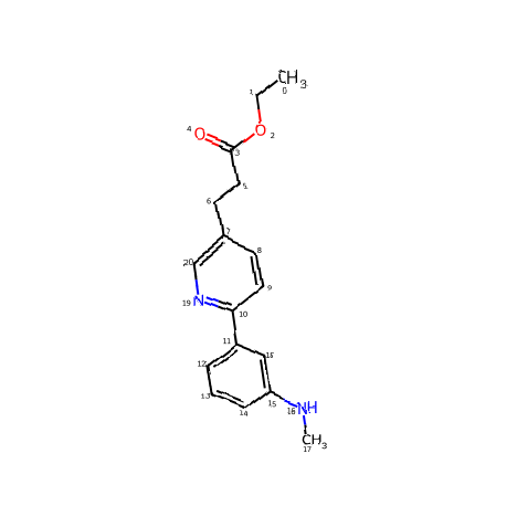 CCOC(=O)CCc1ccc(-c2cccc(NC)c2)nc1